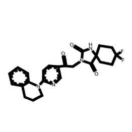 O=C(CN1C(=O)NC2(CCC(F)(F)CC2)C1=O)c1ccc(N2CCCc3ccccc32)nc1